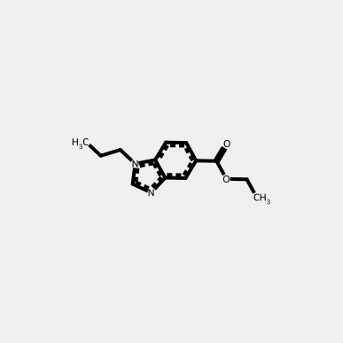 CCCn1cnc2cc(C(=O)OCC)ccc21